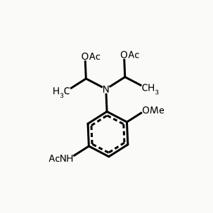 COc1ccc(NC(C)=O)cc1N(C(C)OC(C)=O)C(C)OC(C)=O